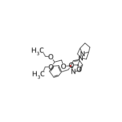 CCOC(COc1cc(N2C3CCC2CN(C(=O)OCc2ccccc2)C3)ccn1)OCC